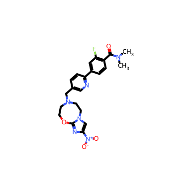 CN(C)C(=O)c1ccc(-c2ccc(CN3CCOc4nc([N+](=O)[O-])cn4CC3)cn2)cc1F